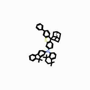 CC1(C)CCC(C)(C)c2c(N(c3ccc4c(c3)Sc3cc(-c5ccccc5)ccc3C43C4CC5CC6CC3C64C5)c3ccc4c(c3)C(C)(C)c3ccccc3-4)cccc21